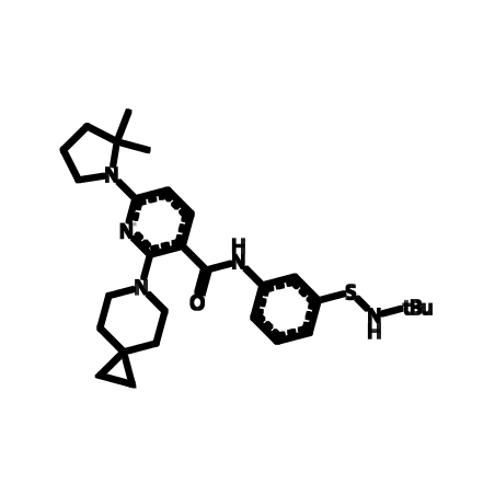 CC(C)(C)NSc1cccc(NC(=O)c2ccc(N3CCCC3(C)C)nc2N2CCC3(CC2)CC3)c1